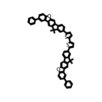 CC1(C)c2cc(-c3ccc(-c4ccc(-c5ccc6c(c5)C(C)(C)c5cc7c(cc5-6)oc5ccc(-c6ccccc6)cc57)s4)s3)ccc2-c2cc3oc4ccc(-c5ccccc5)cc4c3cc21